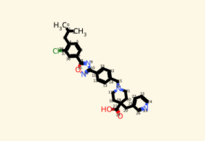 CC(C)Cc1ccc(-c2nc(-c3ccc(CN4CCC(Cc5cccnc5)(C(=O)O)CC4)cc3)no2)cc1Cl